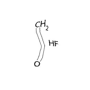 C=C=O.F